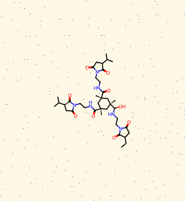 CCC1CC(=O)N(CCNC(O)[C@@]2(C)C[C@@](C)(C(=O)NCCN3C(=O)CC(C(C)C)C3=O)C[C@@](C)(C(=O)NCCN3C(=O)CC(C(C)C)C3=O)C2)C1=O